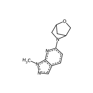 Cn1ncc2ccc(N3CC4CC3CO4)nc21